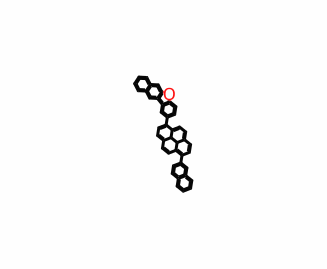 C1=CC2=C(c3ccc4ccccc4c3)C=CC3=CC=C4C(c5ccc6oc7cc8ccccc8cc7c6c5)=CC=C1C4C32